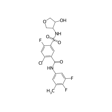 Cc1cc(NC(=O)c2cc(S(=O)(=O)NC3COCC3O)c(F)cc2Cl)cc(F)c1F